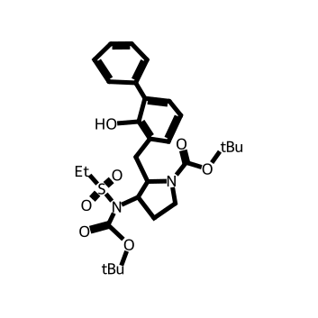 CCS(=O)(=O)N(C(=O)OC(C)(C)C)C1CCN(C(=O)OC(C)(C)C)C1Cc1cccc(-c2ccccc2)c1O